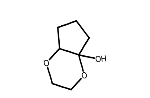 OC12CCCC1OCCO2